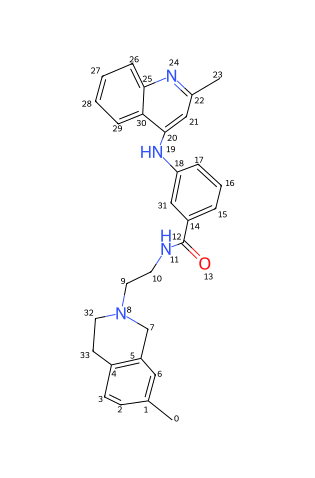 Cc1ccc2c(c1)CN(CCNC(=O)c1cccc(Nc3cc(C)nc4ccccc34)c1)CC2